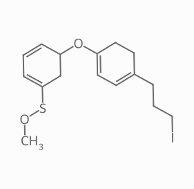 COSC1=CC=CC(OC2=CC=C(CCCI)CC2)C1